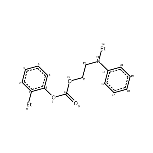 CCc1ccccc1OC(=O)OCCN(CC)c1ccccc1